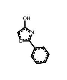 Oc1coc(-c2ccccc2)n1